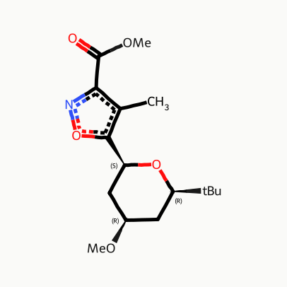 COC(=O)c1noc([C@@H]2C[C@H](OC)C[C@H](C(C)(C)C)O2)c1C